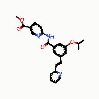 COC(=O)c1ccc(NC(=O)c2cc(C=Cc3ccccn3)cc(OC(C)C)c2)nc1